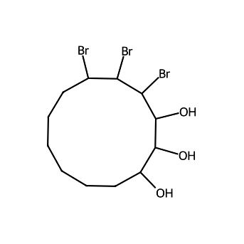 OC1CCCCCCC(Br)C(Br)C(Br)C(O)C1O